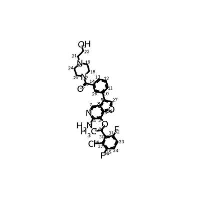 C[C@@H](Oc1c(N)ncc2c(-c3cccc(C(=O)N4CCN(CCO)CC4)c3)coc12)c1c(F)ccc(F)c1Cl